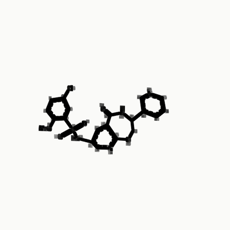 COc1ccc(Cl)cc1S(=O)(=O)Nc1cnc2c(c1)C(=O)NC(c1cccnc1)CO2